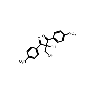 O=C(c1ccc([N+](=O)[O-])cc1)C(O)(CO)C(=O)c1ccc([N+](=O)[O-])cc1